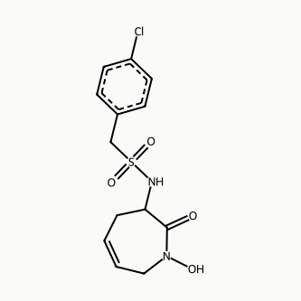 O=C1C(NS(=O)(=O)Cc2ccc(Cl)cc2)CC=CCN1O